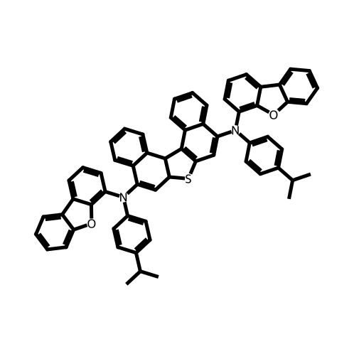 CC(C)c1ccc(N(C2=CC3Sc4cc(N(c5ccc(C(C)C)cc5)c5cccc6c5oc5ccccc56)c5ccccc5c4C3c3ccccc32)c2cccc3c2oc2ccccc23)cc1